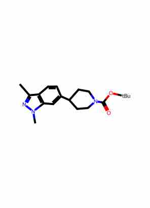 Cc1nn(C)c2cc(C3CCN(C(=O)OC(C)(C)C)CC3)ccc12